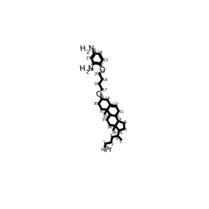 CC(C)CCCC(C)C1CCC2C3CC=C4CC(OCCCCOc5ccc(N)cc5N)CCC4(C)C3CCC12C